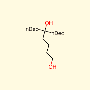 CCCCCCCCCCC(O)(CCCCO)CCCCCCCCCC